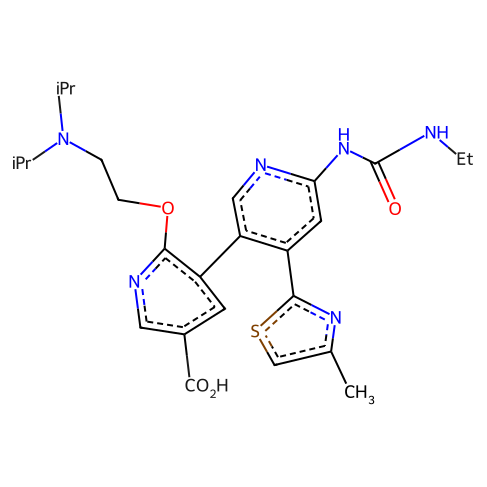 CCNC(=O)Nc1cc(-c2nc(C)cs2)c(-c2cc(C(=O)O)cnc2OCCN(C(C)C)C(C)C)cn1